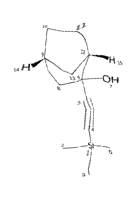 C[Si](C)(C)C#CC1(O)C[C@@H]2CC[C@H]1C2